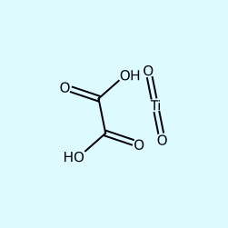 O=C(O)C(=O)O.[O]=[Ti]=[O]